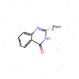 CCC[C@@H](C)c1nc2ccccc2c(=O)[nH]1